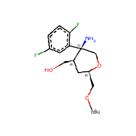 CCCCOC[C@H]1C[C@@H](CO)[C@](N)(c2cc(F)ccc2F)CO1